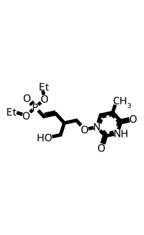 CCOP(=O)(C=CC(CO)COn1cc(C)c(=O)[nH]c1=O)OCC